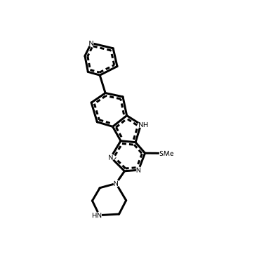 CSc1nc(N2CCNCC2)nc2c1[nH]c1cc(-c3ccncc3)ccc12